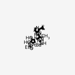 CCS(=O)(=O)C[C@H]1C[C@@H](Nc2nc(NC(C)(C)C)nc(C)c2-c2nc3c(C4CC4)nccc3s2)[C@H](O)[C@@H]1O